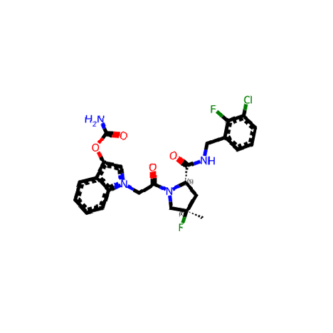 C[C@@]1(F)C[C@@H](C(=O)NCc2cccc(Cl)c2F)N(C(=O)Cn2cc(OC(N)=O)c3ccccc32)C1